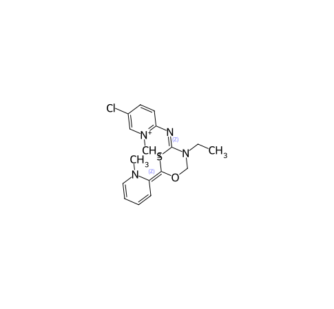 CCN1CO/C(=C2\C=CC=CN2C)S/C1=N\c1ccc(Cl)c[n+]1C